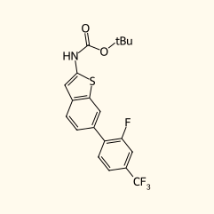 CC(C)(C)OC(=O)Nc1cc2ccc(-c3ccc(C(F)(F)F)cc3F)cc2s1